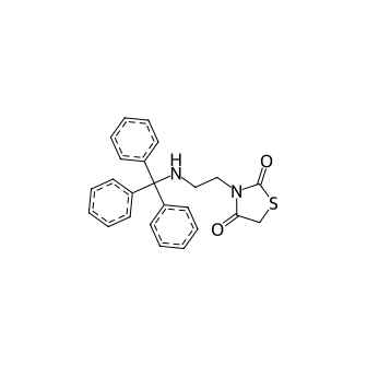 O=C1CSC(=O)N1CCNC(c1ccccc1)(c1ccccc1)c1ccccc1